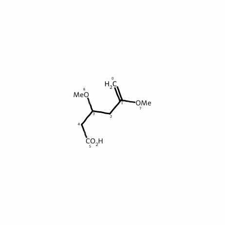 C=C(CC(CC(=O)O)OC)OC